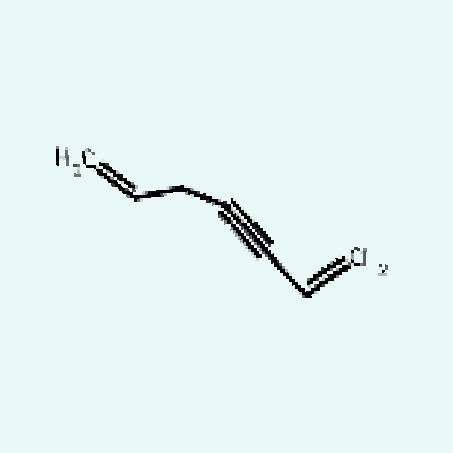 C=CC#CCC=C